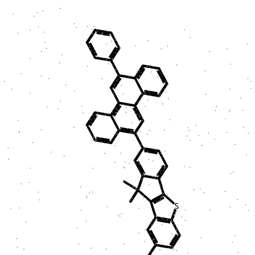 Cc1ccc2sc3c(c2c1)C(C)(C)c1cc(-c2cc4c5ccccc5c(-c5ccccc5)cc4c4ccccc24)ccc1-3